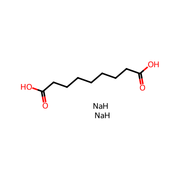 O=C(O)CCCCCCCC(=O)O.[NaH].[NaH]